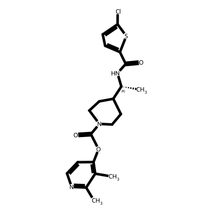 Cc1nccc(OC(=O)N2CCC([C@@H](C)NC(=O)c3ccc(Cl)s3)CC2)c1C